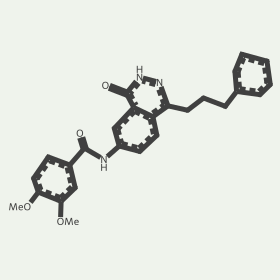 COc1ccc(C(=O)Nc2ccc3c(CCCc4ccccc4)n[nH]c(=O)c3c2)cc1OC